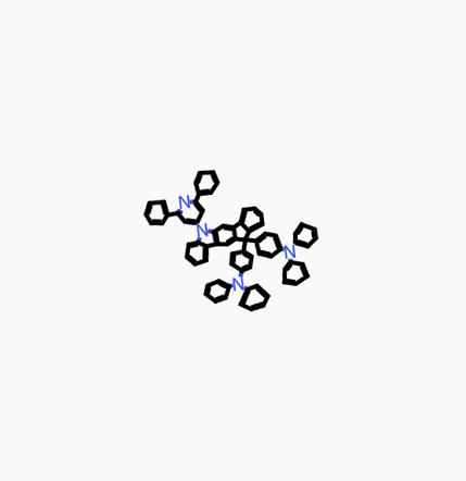 c1ccc(-c2cc(-n3c4ccccc4c4cc5c(cc43)-c3ccccc3C5(c3ccc(N(c4ccccc4)c4ccccc4)cc3)c3ccc(N(c4ccccc4)c4ccccc4)cc3)cc(-c3ccccc3)n2)cc1